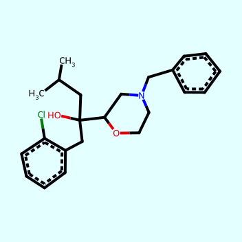 CC(C)CC(O)(Cc1ccccc1Cl)C1CN(Cc2ccccc2)CCO1